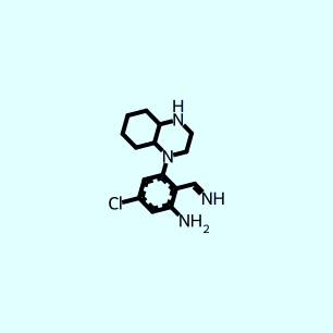 N=Cc1c(N)cc(Cl)cc1N1CCNC2CCCCC21